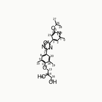 Cc1cc(-c2nc(-c3cc(C)c(OC[C@H](O)CO)c(C)c3)no2)cc(OC(C)C)n1